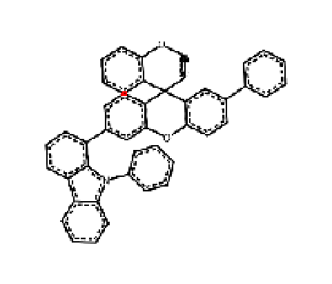 c1ccc(-c2ccc3c(c2)C2(c4ccccc4Oc4ccccc42)c2ccc(-c4cccc5c6ccccc6n(-c6ccccc6)c45)cc2O3)cc1